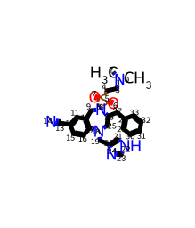 CN(C)CCS(=O)(=O)N1Cc2cc(C#N)ccc2N(Cc2c[nH]cn2)CC1Cc1ccccc1